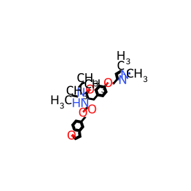 Cc1cc(COc2ccc(CC(NC(=O)OCc3ccc4occc4c3)C(=O)N(CC(C)C)CC(C)C)cc2)nn1C